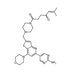 CC(C)=CC(=O)CCC(=O)N1CCN(Cc2cc3nc(-c4cnc(N)nc4)cc(N4CCOCC4)c3s2)CC1